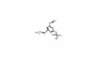 C=Cc1cc(CC#N)cc(OC(F)(F)F)c1